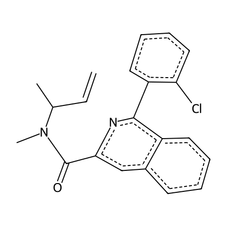 C=CC(C)N(C)C(=O)c1cc2ccccc2c(-c2ccccc2Cl)n1